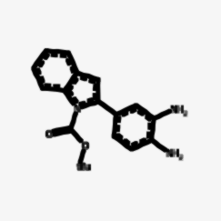 CC(C)(C)OC(=O)n1c(-c2ccc(N)c(N)c2)cc2ccccc21